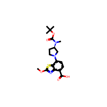 COc1nc2c(C(=O)O)ccc(N3CC[C@@H](N(C)C(=O)OC(C)(C)C)C3)c2s1